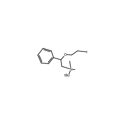 CC(C)(C)[Si](C)(C)CC(OCCI)c1ccccc1